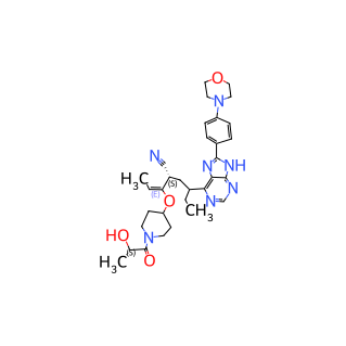 C/C=C(/OC1CCN(C(=O)[C@H](C)O)CC1)[C@H](C#N)CC(CC)c1ncnc2[nH]c(-c3ccc(N4CCOCC4)cc3)nc12